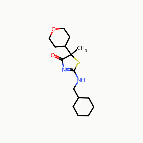 CC1(C2CCOCC2)SC(NCC2CCCCC2)=NC1=O